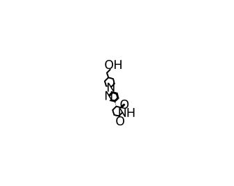 O=C1CC[C@H](c2ccc(N3CCC(CCO)CC3)nc2)C(=O)N1